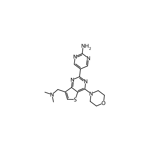 CN(C)Cc1csc2c(N3CCOCC3)nc(-c3cnc(N)nc3)nc12